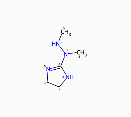 CNN(C)C1=NCCN1